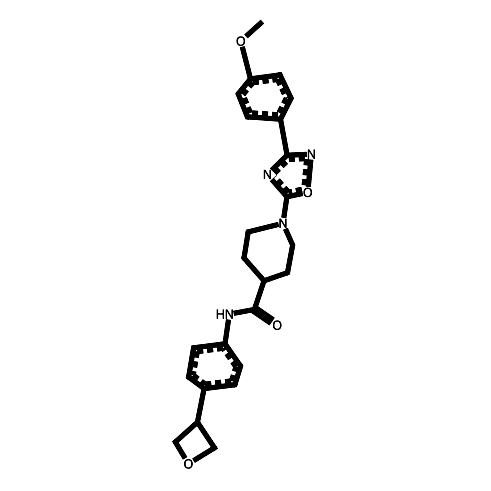 COc1ccc(-c2noc(N3CCC(C(=O)Nc4ccc(C5COC5)cc4)CC3)n2)cc1